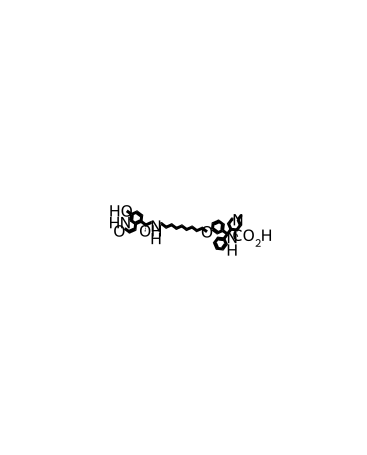 CN1CCC(C(NC(=O)O)(c2ccccc2)c2cccc(OCCCCCCCCCNC[C@H](O)c3ccc(O)c4[nH]c(=O)ccc34)c2)CC1